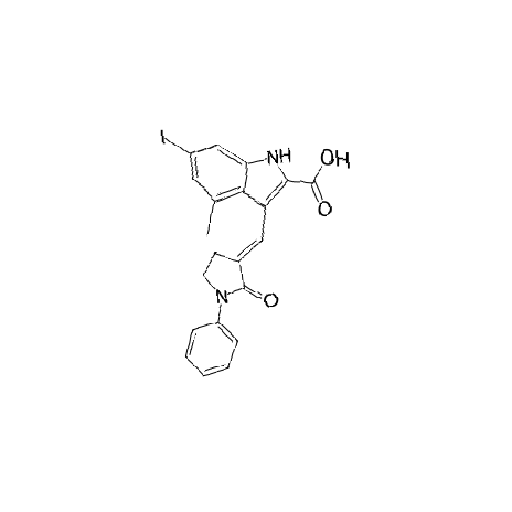 Cc1cc(I)cc2[nH]c(C(=O)O)c(/C=C3\CCN(c4ccccc4)C3=O)c12